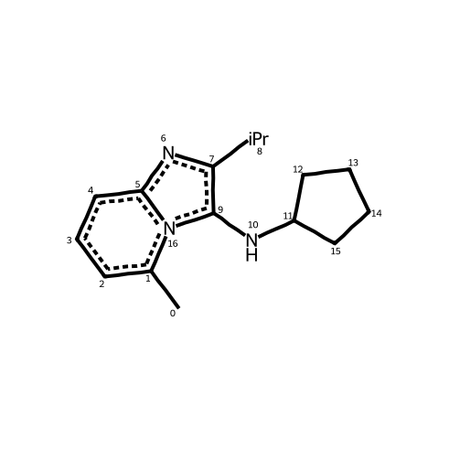 Cc1cccc2nc(C(C)C)c(NC3CCCC3)n12